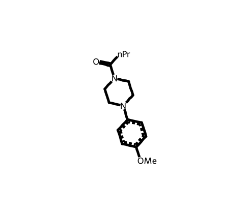 CCCC(=O)N1CCN(c2ccc(OC)cc2)CC1